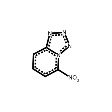 O=[N+]([O-])c1cccc2nnnn12